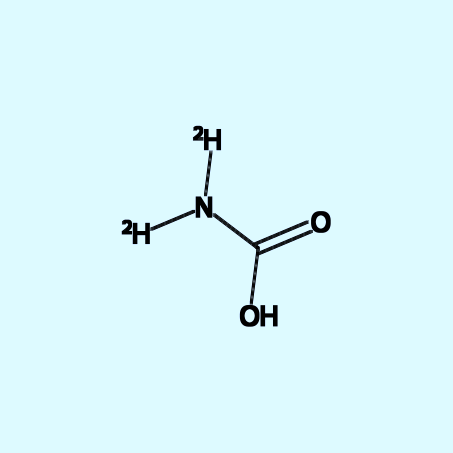 [2H]N([2H])C(=O)O